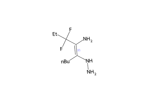 CCCC/C(NN)=C(/N)C(F)(F)CC